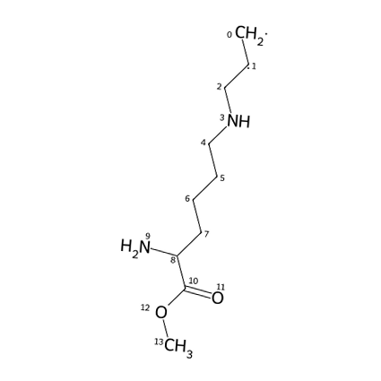 [CH2][CH]CNCCCCC(N)C(=O)OC